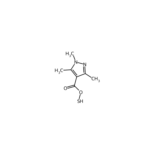 Cc1nn(C)c(C)c1C(=O)OS